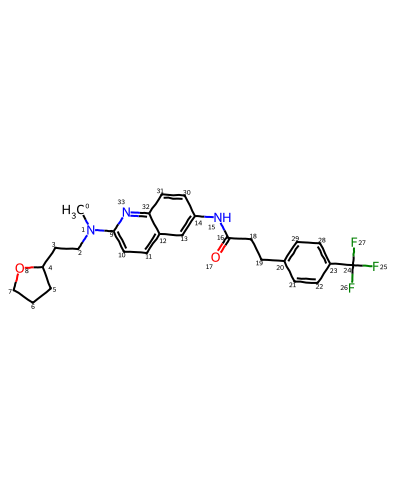 CN(CCC1CCCO1)c1ccc2cc(NC(=O)CCc3ccc(C(F)(F)F)cc3)ccc2n1